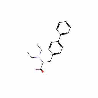 CCN(CC)[C@@H](Cc1ccc(-c2ccccc2)cc1)C(=O)O